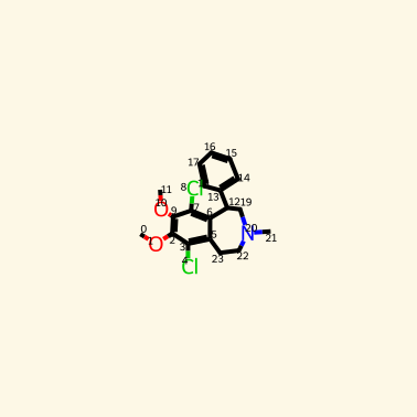 COc1c(Cl)c2c(c(Cl)c1OC)C(c1ccccc1)CN(C)CC2